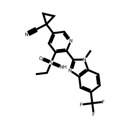 CCS(=N)(=O)c1cc(C2(C#N)CC2)cnc1-c1nc2cc(C(F)(F)F)ccc2n1C